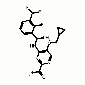 C[C@@H](Nc1nc(C(N)=O)ncc1OCC1CC1)c1cccc(C(F)F)c1F